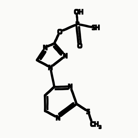 CSc1nccc(-n2cnc(OP(=O)(O)S)n2)n1